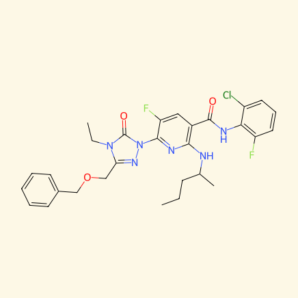 CCCC(C)Nc1nc(-n2nc(COCc3ccccc3)n(CC)c2=O)c(F)cc1C(=O)Nc1c(F)cccc1Cl